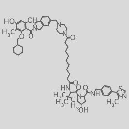 Cc1ncsc1-c1ccc(CNC(=O)C2CC(O)CN2C(=O)[C@@H](NC(=O)CCCCCCCCCC(=O)N2CCN(Cc3ccc4c(c3)CN(C(=O)c3c(O)cc(O)c(C)c3OCC3CCCCC3)C4)CC2)C(C)(C)C)cc1